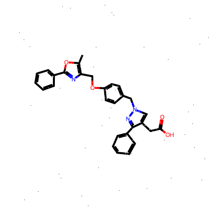 Cc1oc(-c2ccccc2)nc1COc1ccc(Cn2cc(CC(=O)O)c(-c3ccccc3)n2)cc1